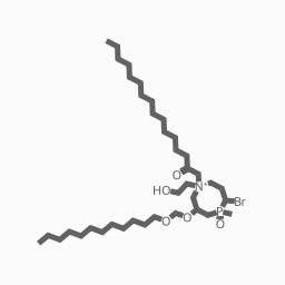 CCCCCCCCCCCCCCC(=O)C[N+]1(CCO)CCC(Br)P(C)(=O)CC(OCOCCCCCCCCCCCC)C1